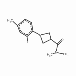 Cc1ccc(N2CC(C(=O)N(C)C)C2)c(F)c1